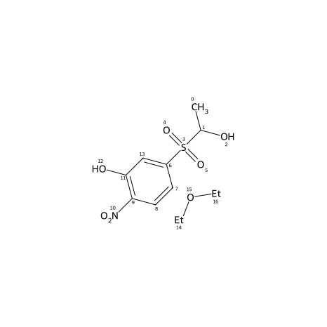 CC(O)S(=O)(=O)c1ccc([N+](=O)[O-])c(O)c1.CCOCC